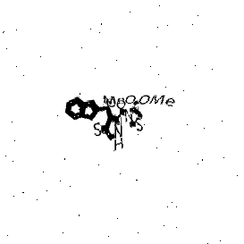 COC(OC)[C@@H]1CSCN1C(=O)[C@H]1NCC(=S)C1C(=O)C1=Cc2ccccc2C1